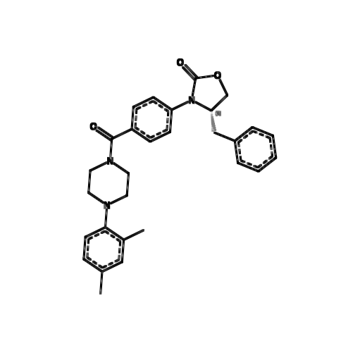 Cc1ccc(N2CCN(C(=O)c3ccc(N4C(=O)OC[C@@H]4Cc4ccccc4)cc3)CC2)c(C)c1